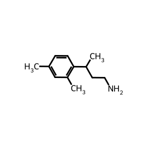 Cc1ccc(C(C)CCN)c(C)c1